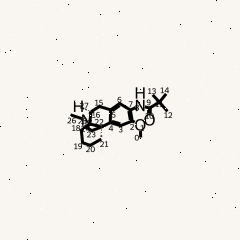 COc1cc2c(cc1NC(=O)C(C)(C)C)C[C@H]1C3CCCC[C@@]23CCN1C